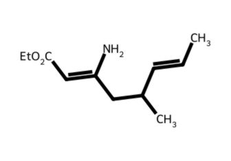 CC=CC(C)C/C(N)=C/C(=O)OCC